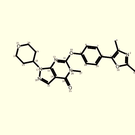 Cc1nc(C)c(-c2ccc(Oc3nc4c(cnn4C4CCOCC4)c(=O)n3C)cc2)o1